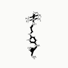 CC(C)(C)[Si](C)(C)OCCOc1ccc(NC(=O)O)cn1